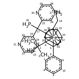 CC(C)(C)[C]12[C]3(c4ccccc4)[CH]4[C]5(CP)[C]1(C(P)(c1cnccn1)c1cnccn1)[Fe]45321678[CH]2[CH]1[CH]6[CH]7[CH]28